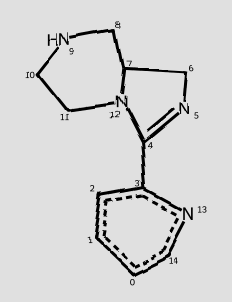 c1ccc(C2=NCC3CNCCN23)nc1